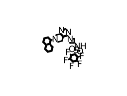 O=S(=O)(NC1CN(c2ncnc3c2CCN(c2cccc4ccccc24)C3)C1)c1c(F)c(F)c(F)c(F)c1F